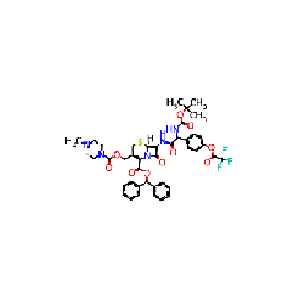 CN1CCN(C(=O)OCC2=C(C(=O)OC(c3ccccc3)c3ccccc3)N3C(=O)C(NC(=O)C(NC(=O)OC(C)(C)C)c4ccc(OC(=O)C(F)(F)F)cc4)[C@@H]3SC2)CC1